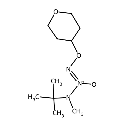 CN(/[N+]([O-])=N/OC1CCOCC1)C(C)(C)C